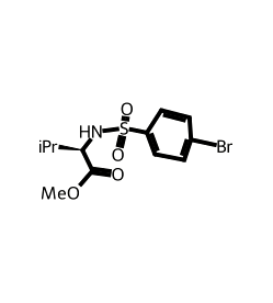 COC(=O)[C@H](NS(=O)(=O)c1ccc(Br)cc1)C(C)C